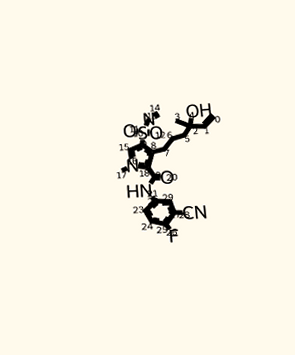 C=CC(C)(O)CCCc1c(S(=O)(=O)N=C)cn(C)c1C(=O)Nc1ccc(F)c(C#N)c1